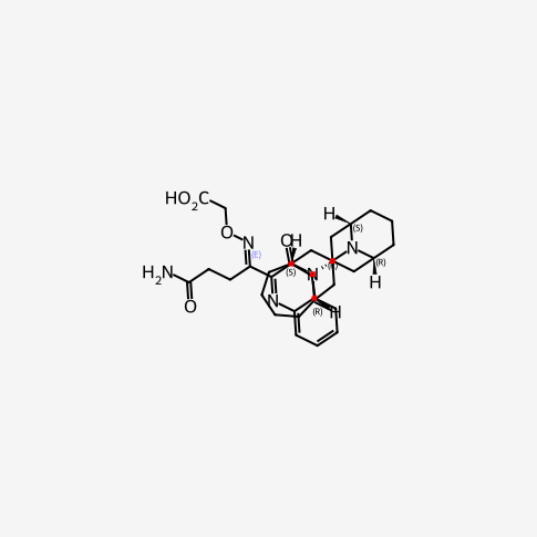 NC(=O)CC/C(=N\OCC(=O)O)c1nc2ccccc2n([C@H]2C[C@H]3CCC[C@@H](C2)N3C2C[C@H]3CCCC[C@@H](C2)C3)c1=O